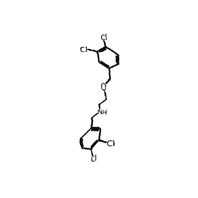 Clc1ccc(CNCCOCc2ccc(Cl)c(Cl)c2)cc1Cl